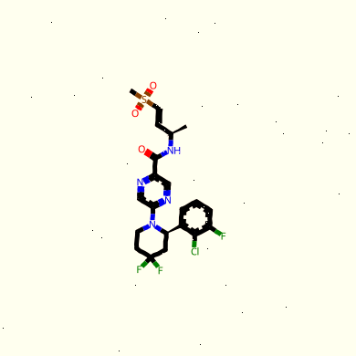 C[C@H](/C=C/S(C)(=O)=O)NC(=O)c1cnc(N2CCC(F)(F)C[C@@H]2c2cccc(F)c2Cl)cn1